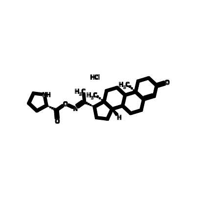 C/C(=N\OC(=O)[C@@H]1CCCN1)[C@H]1CC[C@H]2C3CCC4=CC(=O)CC[C@]4(C)C3CC[C@]12C.Cl